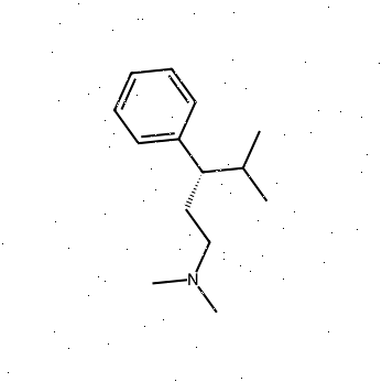 CC(C)[C@H](CCN(C)C)c1ccccc1